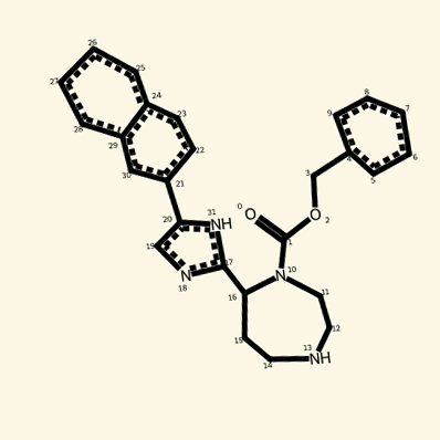 O=C(OCc1ccccc1)N1CCNCCC1c1ncc(-c2ccc3ccccc3c2)[nH]1